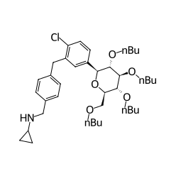 CCCCOC[C@H]1O[C@@H](c2ccc(Cl)c(Cc3ccc(CNC4CC4)cc3)c2)[C@H](OCCCC)[C@@H](OCCCC)[C@@H]1OCCCC